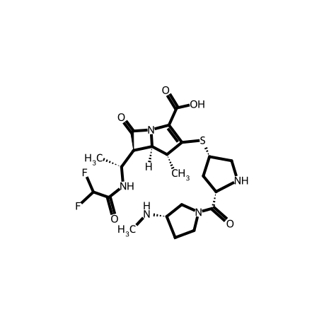 CN[C@H]1CCN(C(=O)[C@@H]2C[C@H](SC3=C(C(=O)O)N4C(=O)[C@H]([C@@H](C)NC(=O)C(F)F)[C@@H]4[C@H]3C)CN2)C1